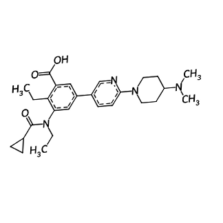 CCc1c(C(=O)O)cc(-c2ccc(N3CCC(N(C)C)CC3)nc2)cc1N(CC)C(=O)C1CC1